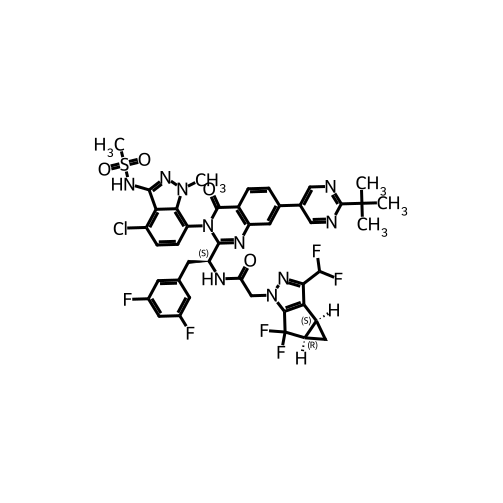 Cn1nc(NS(C)(=O)=O)c2c(Cl)ccc(-n3c([C@H](Cc4cc(F)cc(F)c4)NC(=O)Cn4nc(C(F)F)c5c4C(F)(F)[C@@H]4C[C@H]54)nc4cc(-c5cnc(C(C)(C)C)nc5)ccc4c3=O)c21